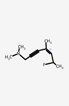 C/C(C#CCN(C)C)=C/C(C)F